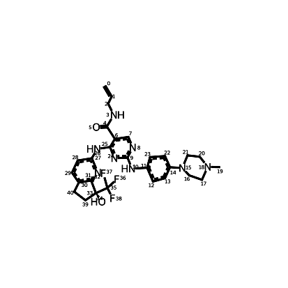 C=CCNC(=O)c1cnc(Nc2ccc(N3CCN(C)CC3)cc2)nc1Nc1ccc2c(n1)[C@](O)(C(F)(F)F)CC2